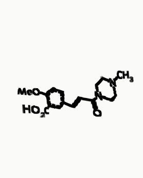 COc1ccc(/C=C/C(=O)N2CCN(C)CC2)cc1C(=O)O